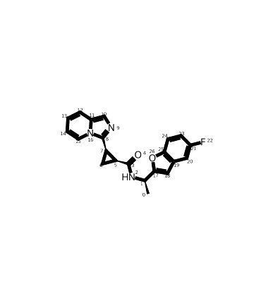 C[C@@H](NC(=O)[C@H]1C[C@H]1c1ncc2ccccn12)c1cc2cc(F)ccc2o1